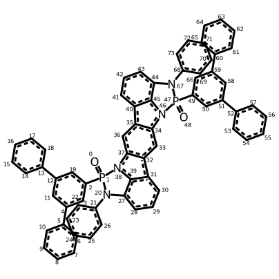 O=P1(c2cc(-c3ccccc3)cc(-c3ccccc3)c2)N(c2ccccc2)c2cccc3c4cc5c(cc4n1c23)c1cccc2c1n5P(=O)(c1cc(-c3ccccc3)cc(-c3ccccc3)c1)N2c1ccccc1